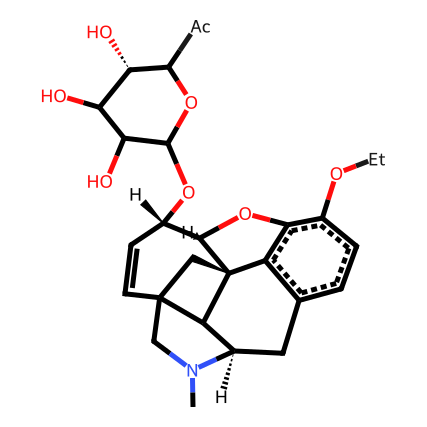 CCOc1ccc2c3c1O[C@H]1[C@@H](OC4OC(C(C)=O)[C@@H](O)C(O)C4O)C=CC45CN(C)[C@H](C2)C4[C@@]31C5